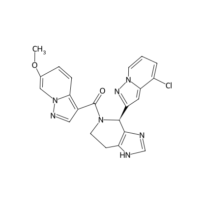 COc1ccc2c(C(=O)N3CCc4[nH]cnc4[C@@H]3c3cc4c(Cl)cccn4n3)cnn2c1